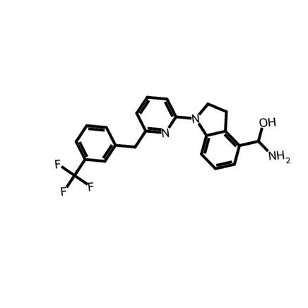 NC(O)c1cccc2c1CCN2c1cccc(Cc2cccc(C(F)(F)F)c2)n1